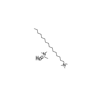 CCCCCCCCCCCCCCCC[N+](C)(C)C.CCN(C)C.O.[OH-]